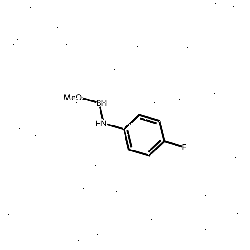 COBNc1ccc(F)cc1